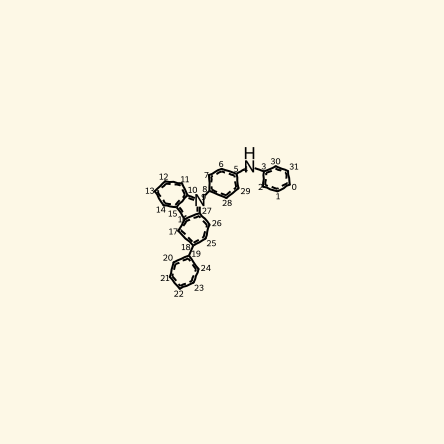 c1ccc(Nc2ccc(-n3c4ccccc4c4cc(-c5ccccc5)ccc43)cc2)cc1